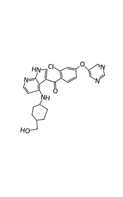 O=C(c1ccc(Oc2cncnc2)cc1Cl)c1c[nH]c2nccc(NC3CCC(CO)CC3)c12